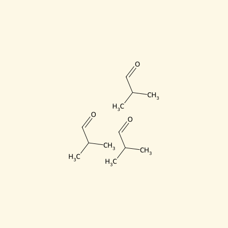 CC(C)C=O.CC(C)C=O.CC(C)C=O